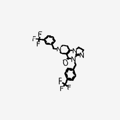 O=C1C2=C(CCN(Cc3cccc(C(F)(F)F)c3)C2)N2CCN=C2N1Cc1ccc(C(F)(F)F)cc1